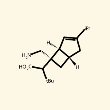 CC(C)C1=C[C@H]2[C@H](C1)C[C@@]2(CN)C(C(=O)O)C(C)(C)C